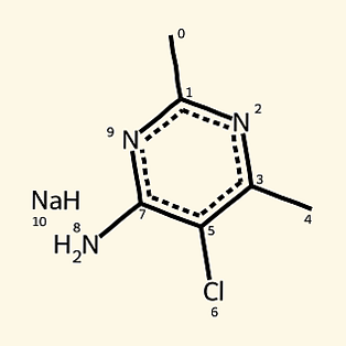 Cc1nc(C)c(Cl)c(N)n1.[NaH]